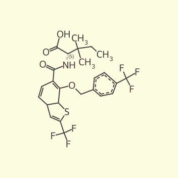 CCC(C)(C)[C@H](NC(=O)C1=C(OCc2ccc(C(F)(F)F)cc2)C2SC(C(F)(F)F)=CC2C=C1)C(=O)O